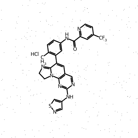 Cc1ccc(NC(=O)c2cc(C(F)(F)F)ccn2)cc1C1=Cc2cnc(Nc3cnsc3)nc2N2CCN=C12.Cl